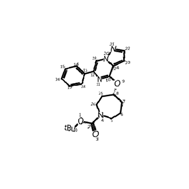 CC(C)(C)OC(=O)N1CCC[C@@H](Oc2nc(-c3ccccc3)cn3nccc23)CC1